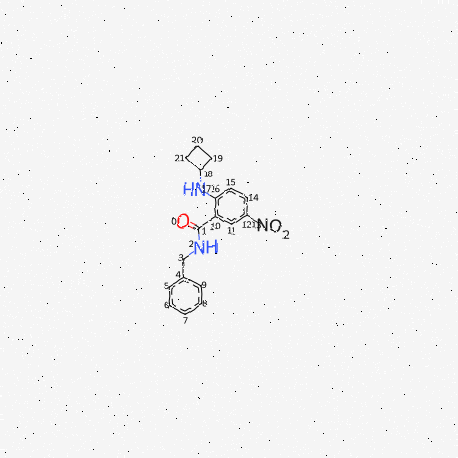 O=C(NCc1ccccc1)c1cc([N+](=O)[O-])ccc1NC1CCC1